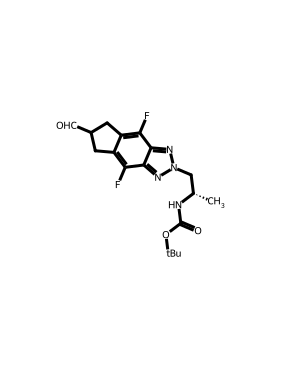 C[C@@H](Cn1nc2c(F)c3c(c(F)c2n1)CC(C=O)C3)NC(=O)OC(C)(C)C